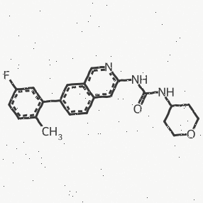 Cc1ccc(F)cc1-c1ccc2cc(NC(=O)NC3CCOCC3)ncc2c1